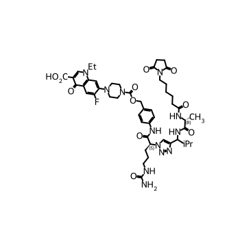 CCn1cc(C(=O)O)c(=O)c2cc(F)c(N3CCN(C(=O)OCc4ccc(NC(=O)[C@H](CCCNC(N)=O)n5cc(C(NC(=O)[C@@H](C)NC(=O)CCCCCN6C(=O)CCC6=O)C(C)C)nn5)cc4)CC3)cc21